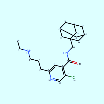 CCNCCCc1cc(C(=O)NCC23CC4CC(CC(C4)C2)C3)c(Cl)cn1